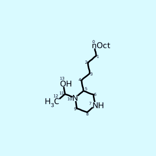 CCCCCCCCCCCCC1CNCCN1C(C)O